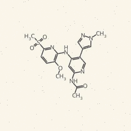 COc1ccc(S(C)(=O)=O)nc1Nc1cc(NC(C)=O)ncc1-c1cnn(C)c1